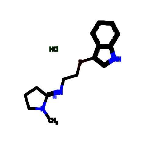 CN1CCC/C1=N\CCSc1c[nH]c2ccccc12.Cl